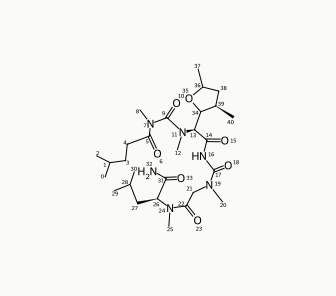 CC(C)CCC(=O)N(C)C(=O)N(C)[C@H](C(=O)NC(=O)N(C)CC(=O)N(C)[C@@H](CC(C)C)C(N)=O)C1OC(C)C[C@H]1C